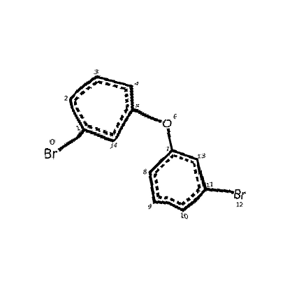 Brc1cccc(Oc2cccc(Br)c2)c1